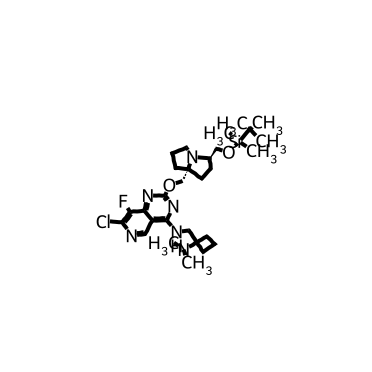 CN(C)C1(CNc2nc(OC[C@]34CCCN3[C@@H](CO[Si](C)(C)C(C)(C)C)CC4)nc3c(F)c(Cl)ncc23)CCC1